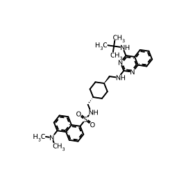 CN(C)c1cccc2c(S(=O)(=O)NC[C@H]3CC[C@H](CNc4nc(NC(C)(C)C)c5ccccc5n4)CC3)cccc12